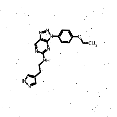 CCOc1ccc(-n2nnc3cnc(NCCc4cn[nH]c4)nc32)cc1